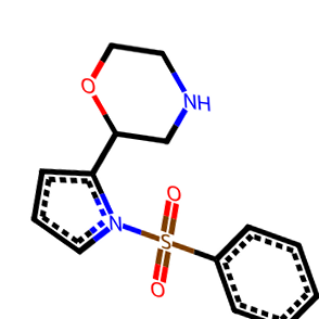 O=S(=O)(c1ccccc1)n1cccc1C1CNCCO1